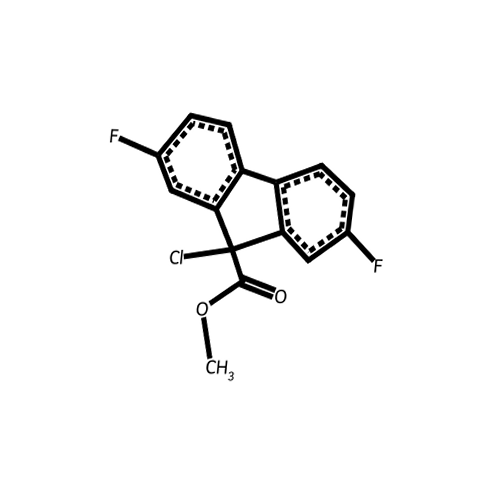 COC(=O)C1(Cl)c2cc(F)ccc2-c2ccc(F)cc21